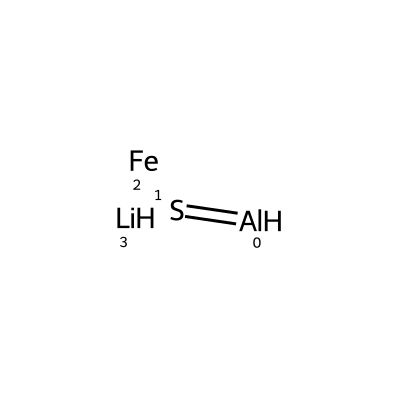 [AlH]=[S].[Fe].[LiH]